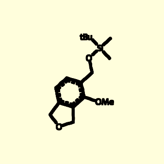 COc1c(CO[Si](C)(C)C(C)(C)C)ccc2c1COC2